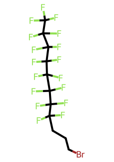 FC(F)(F)C(F)(F)C(F)(F)C(F)(F)C(F)(F)C(F)(F)C(F)(F)C(F)(F)CCCBr